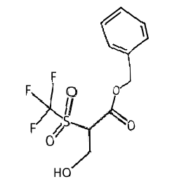 O=C(OCc1ccccc1)C(CO)S(=O)(=O)C(F)(F)F